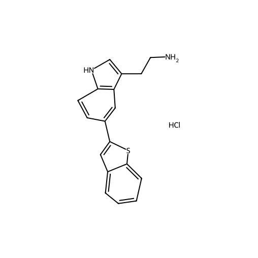 Cl.NCCc1c[nH]c2ccc(-c3cc4ccccc4s3)cc12